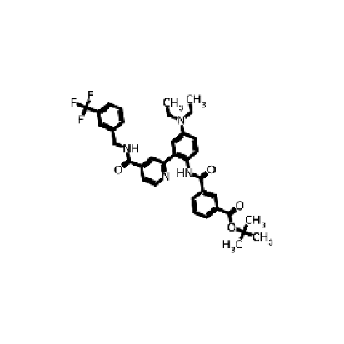 CCN(CC)c1ccc(NC(=O)c2cccc(C(=O)OC(C)(C)C)c2)c(-c2cc(C(=O)NCc3cccc(C(F)(F)F)c3)ccn2)c1